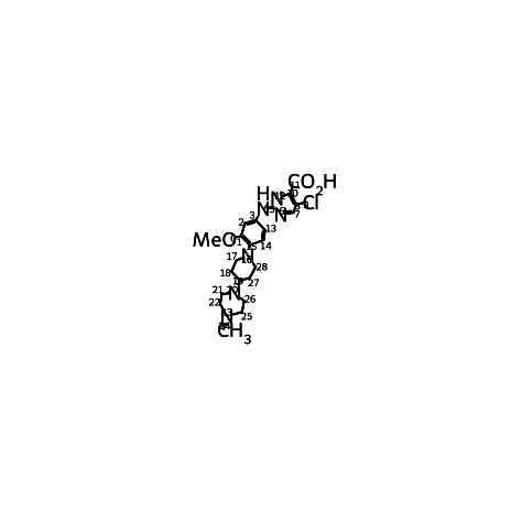 COc1cc(Nc2ncc(Cl)c(C(=O)O)n2)ccc1N1CCC(N2CCN(C)CC2)CC1